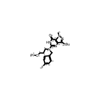 CC(C)OCCCN(Cc1ccc(F)cc1)c1nc2c(C(C)(C)C)nn(C)c2c(=O)[nH]1